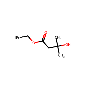 CC(C)COC(=O)CC(C)(C)O